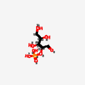 O=C[C@@H](OP(=O)(O)O)[C@@H](O)[C@H](O)CO